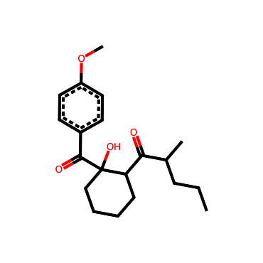 CCCC(C)C(=O)C1CCCCC1(O)C(=O)c1ccc(OC)cc1